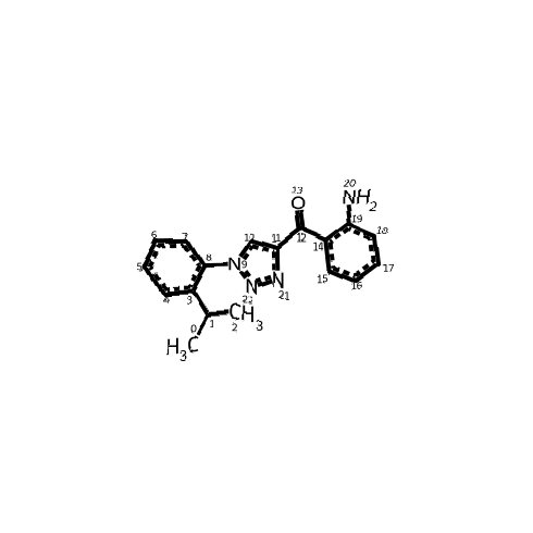 CC(C)c1ccccc1-n1cc(C(=O)c2ccccc2N)nn1